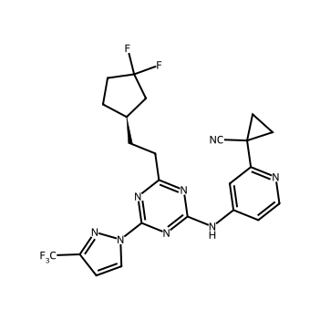 N#CC1(c2cc(Nc3nc(CC[C@H]4CCC(F)(F)C4)nc(-n4ccc(C(F)(F)F)n4)n3)ccn2)CC1